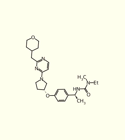 CCN(C)C(=O)N[C@@H](C)c1ccc(O[C@@H]2CCN(c3ccnc(CC4CCOCC4)n3)C2)cc1